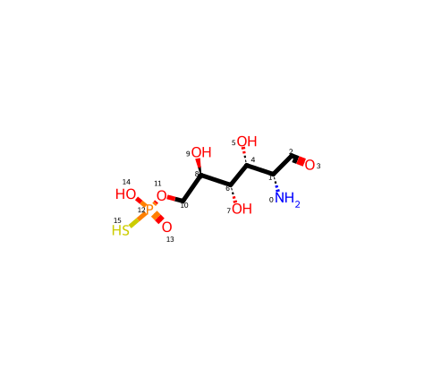 N[C@@H](C=O)[C@@H](O)[C@H](O)[C@H](O)COP(=O)(O)S